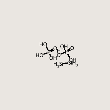 O=P(O)(O)O.O=P(O)(O)O.[SiH3][SiH3]